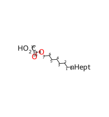 CCCCCCCCCCCCCCOC(=O)C(=O)O